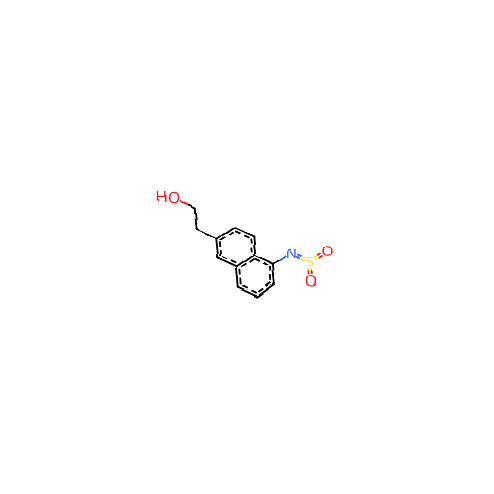 O=S(=O)=Nc1cccc2cc(CCO)ccc12